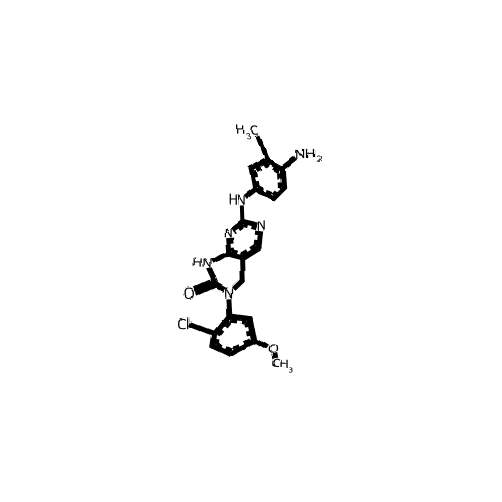 COc1ccc(Cl)c(N2Cc3cnc(Nc4ccc(N)c(C)c4)nc3NC2=O)c1